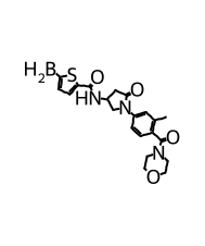 Bc1ccc(C(=O)NC2CC(=O)N(c3ccc(C(=O)N4CCOCC4)c(C)c3)C2)s1